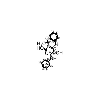 CC(C)(C)N(C(=O)O)[C@@H](Cc1ccccc1)[C@H](O)CNC12CCC(CC1)CC2